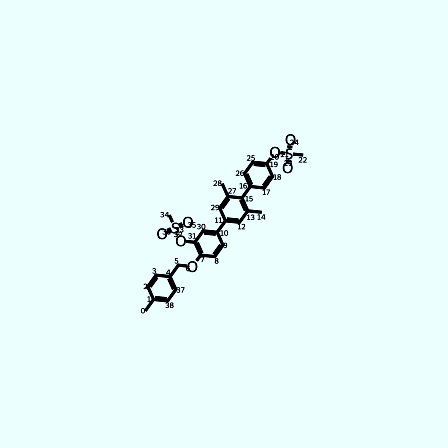 Cc1ccc(COc2ccc(-c3cc(C)c(-c4ccc(OS(C)(=O)=O)cc4)c(C)c3)cc2OS(C)(=O)=O)cc1